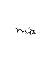 CN(C)CCCSc1nnnn1C